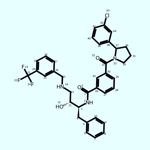 O=C(N[C@@H](Cc1ccccc1)[C@H](O)CNCc1cccc(C(F)(F)F)c1)c1cccc(C(=O)N2CCCC2c2cccc(Cl)c2)c1